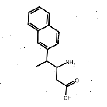 CC(c1ccc2ccccc2c1)C(N)CC(=O)O